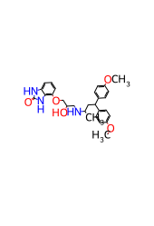 COc1ccc(C(CC(C)NCC(O)COc2cccc3[nH]c(=O)[nH]c23)c2ccc(OC)cc2)cc1